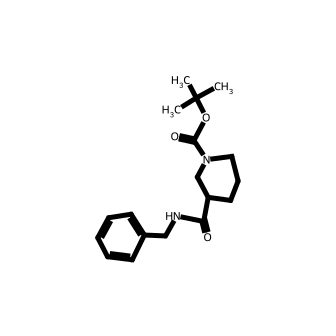 CC(C)(C)OC(=O)N1CCCC(C(=O)NCc2ccccc2)C1